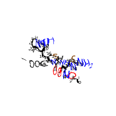 C=CCO/N=C(/C(=O)N[C@@H]1C(=O)N2C(C(=O)[O-])=C(Cc3c[nH][n+]4ccccc34)CS[C@H]12)c1csc(N)n1